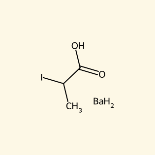 CC(I)C(=O)O.[BaH2]